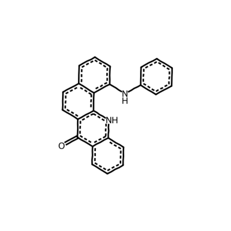 O=c1c2ccccc2[nH]c2c1ccc1cccc(Nc3ccccc3)c12